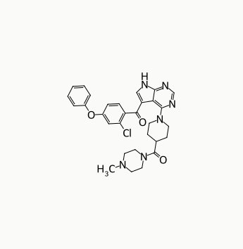 CN1CCN(C(=O)C2CCN(c3ncnc4[nH]cc(C(=O)c5ccc(Oc6ccccc6)cc5Cl)c34)CC2)CC1